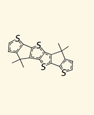 CC1(C)c2ccsc2-c2sc3c4c(sc3c21)-c1sccc1C4(C)C